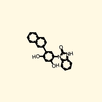 O=c1[nH]c2ccccc2n1-c1cc(-c2ccc3ccccc3c2)c(O)cc1O